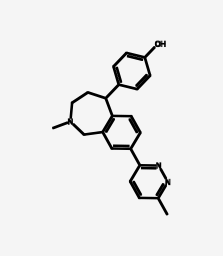 Cc1ccc(-c2ccc3c(c2)CN(C)CCC3c2ccc(O)cc2)nn1